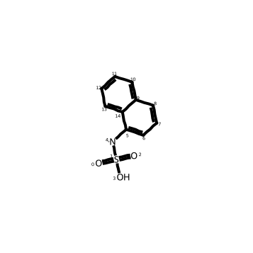 O=S(=O)(O)[N]c1cccc2ccccc12